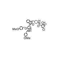 COc1ccc(CNc2ncc(-n3c(=O)n(CC4CCC(NC(=O)c5cc(Cl)cnc5C)CC4)c4ccccc43)cc2OCc2ccc(OC)cc2)cc1